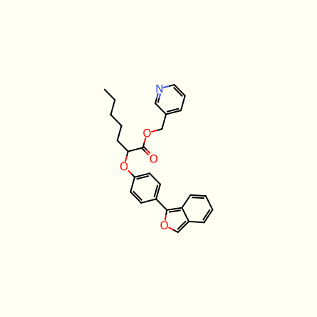 CCCCCC(Oc1ccc(-c2occ3ccccc23)cc1)C(=O)OCc1cccnc1